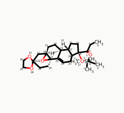 CCC(=O)[C@@]1(O[Si](C)(C)C)CC[C@H]2[C@@H]3CC[C@@]45CC6(CC[C@@]4(O5)C3=CC[C@@]21C)OCCO6